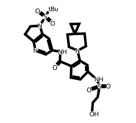 CC(C)(C)S(=O)(=O)N1CCc2ncc(NC(=O)c3ccc(NS(=O)(=O)CCO)cc3N3CCC4(CC3)CC4)cc21